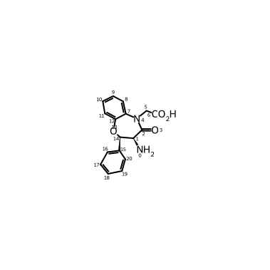 N[C@@H]1C(=O)N(CC(=O)O)c2ccccc2O[C@@H]1c1ccccc1